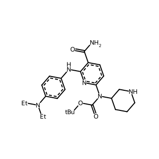 CCN(CC)c1ccc(Nc2nc(N(C(=O)OC(C)(C)C)C3CCCNC3)ccc2C(N)=O)cc1